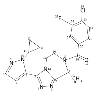 C[C@@H]1c2nnc(-c3ccnn3C3CC3)n2CCN1C(=O)c1ccc(Cl)c(F)c1